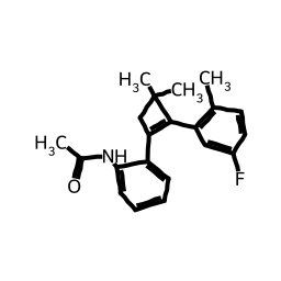 CC(=O)Nc1ccccc1C1=C(c2cc(F)ccc2C)C(C)(C)C1